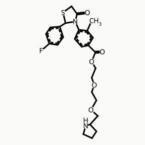 Cc1cc(C(=O)OCCOCCOCC2CCCN2)ccc1N1C(=O)CSC1c1ccc(F)cc1